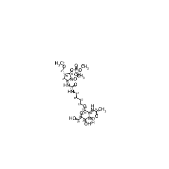 COC[C@H]1C[C@H](NC(=O)NCCCCO[C@@H]2O[C@H](CO)[C@H](O)[C@H](O)[C@H]2NC(C)=O)[C@@H](OC)C1OP(=O)(O)OC